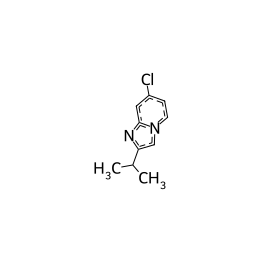 CC(C)c1cn2ccc(Cl)cc2n1